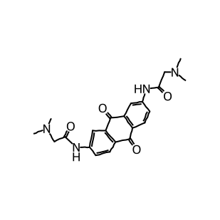 CN(C)CC(=O)Nc1ccc2c(c1)C(=O)c1cc(NC(=O)CN(C)C)ccc1C2=O